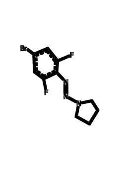 Fc1cc(Br)cc(F)c1/N=N/N1CCCC1